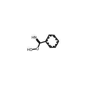 N=C(OO)c1ccccc1